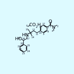 CC(=O)O.CN(C)C(=O)c1ccc(CCC(C)(C)NCC(O)c2ccccc2)cc1